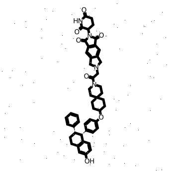 O=C1CCC(N2C(=O)c3cc4c(cc3C2=O)CN(CC(=O)N2CCC3(CCC(Oc5ccc([C@@H]6c7ccc(O)cc7CC[C@@H]6c6ccccc6)cc5)CC3)CC2)C4)C(=O)N1